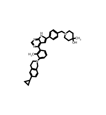 Cc1c(-c2ncnc3[nH]c(-c4ccc(CN5CCC(C)(O)CC5)cc4)cc23)cccc1N1CCc2cc(C3CC3)ccc2C1